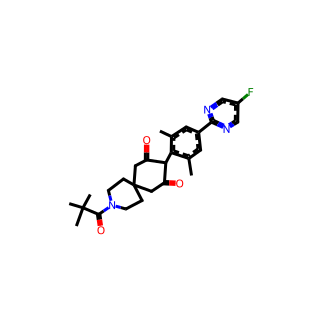 Cc1cc(-c2ncc(F)cn2)cc(C)c1C1C(=O)CC2(CCN(C(=O)C(C)(C)C)CC2)CC1=O